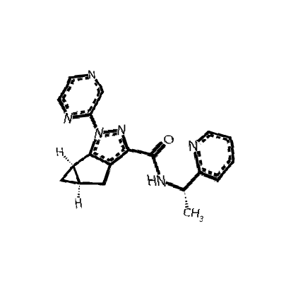 C[C@H](NC(=O)c1nn(-c2cnccn2)c2c1C[C@H]1C[C@@H]21)c1ccccn1